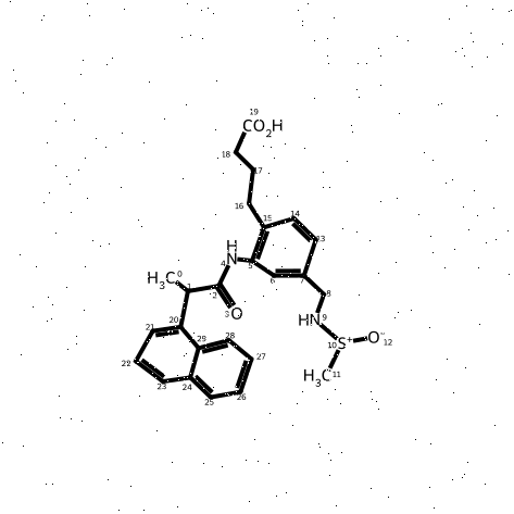 CC(C(=O)Nc1cc(CN[S+](C)[O-])ccc1CCCC(=O)O)c1cccc2ccccc12